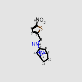 O=[N+]([O-])c1ccc(CNC2CC3CCC(C2)N3)s1